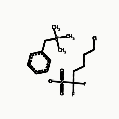 C[N+](C)(C)Cc1ccccc1.O=S(=O)([O-])C(F)(F)CCCCCl